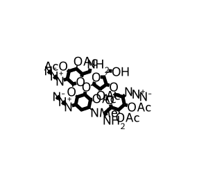 CN[C@@H]1CC(N=[N+]=[N-])[C@@H](O[C@H]2OC(CN)[C@@H](OC(C)=O)C(OC(C)=O)C2N=[N+]=[N-])C(O[C@@H]2O[C@H](CO)C(O[C@H]3OC(CN)[C@@H](OC(C)=O)C(OC(C)=O)C3N=[N+]=[N-])C2OC(C)=O)C1OC(C)=O